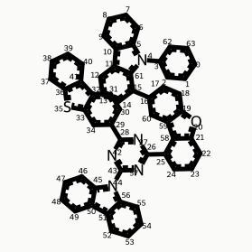 c1ccc(-n2c3ccccc3c3cccc(-c4ccc5oc6cccc(-c7nc(-c8ccc9c(c8)sc8ccccc89)nc(-n8c9ccccc9c9ccccc98)n7)c6c5c4)c32)cc1